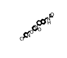 O=c1cc(OCc2ccc(Cl)cn2)ccn1C1=Cc2ccc(CNC3COC3)cc2CC1